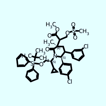 COC(=O)C(COS(C)(=O)=O)[C@@]1(C)CC(c2cccc(Cl)c2)[C@@H](c2ccc(Cl)cc2)N([C@H](CO[Si](c2ccccc2)(c2ccccc2)C(C)(C)C)C2CC2)C1=O